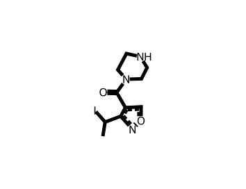 CC(I)c1nocc1C(=O)N1CCNCC1